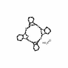 O=S(=O)(O)Cl.c1ccc2c(c1)-c1nc-2nc2[nH]c(nc3nc(nc4[nH]c(n1)c1ccccc41)-c1ccccc1-3)c1ccccc21